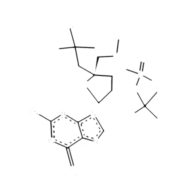 COC[C@]1(CC(C)(C)C)O[C@@H](n2cnc3c(=O)[nH]c(N)nc32)C[C@H]1OP(O)(=S)OC(C)(C)C